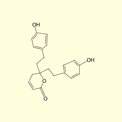 O=C1C=CCC(CCc2ccc(O)cc2)(CCc2ccc(O)cc2)O1